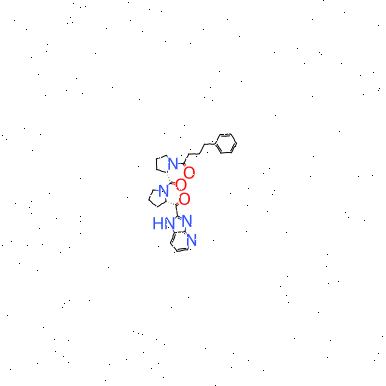 O=C(c1nc2ncccc2[nH]1)[C@@H]1CCCN1C(=O)[C@@H]1CCCN1C(=O)CCCc1ccccc1